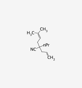 C=CCC(C#N)(CC=C(C)C)CCC